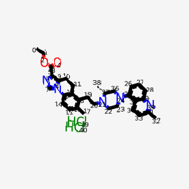 CCOC(=O)c1ncn2c1CCc1c-2ccc(C)c1CCN1CCN(c2cccc3nc(C)ccc23)C[C@H]1C.Cl.Cl